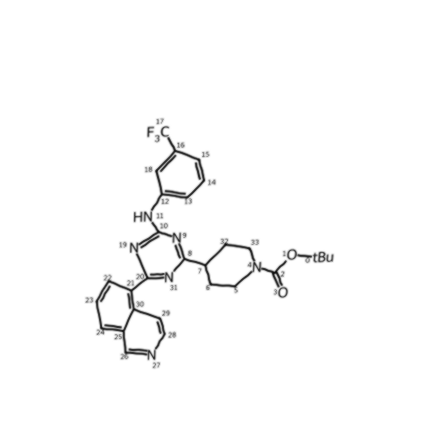 CC(C)(C)OC(=O)N1CCC(c2nc(Nc3cccc(C(F)(F)F)c3)nc(-c3cccc4cnccc34)n2)CC1